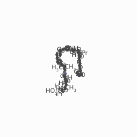 CC(C)C[C@H](NC(=O)C(C)(C)CNC(=O)CNC(=O)/C=C/CC[C@H](C)O[C@@H](C)c1ccc(CN2CCN(C(=O)OCc3ccc(NC(=O)CNC(=O)C(NC(=O)CCOCCOCCN4C(=O)C=CC4=O)C(C)C)cc3)CC2)cc1)C(=O)O